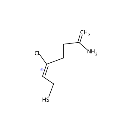 C=C(N)CC/C(Cl)=C\CS